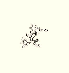 COC(=O)CN(NC(=O)C1(C)CN(C(=O)OC(C)(C)C)C(Cc2cc(F)cc(F)c2)=N1)c1ccccc1